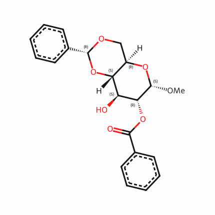 CO[C@H]1O[C@@H]2CO[C@@H](c3ccccc3)O[C@H]2[C@H](O)[C@H]1OC(=O)c1ccccc1